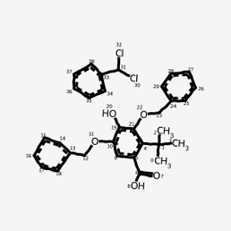 CC(C)(C)c1c(C(=O)O)cc(OCc2ccccc2)c(O)c1OCc1ccccc1.ClC(Cl)c1ccccc1